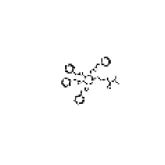 CN(C)C(=O)OCCN1C[C@H](OCc2ccccc2)[C@@H](OCc2ccccc2)[C@H](OCc2ccccc2)[C@H]1COCc1ccccc1